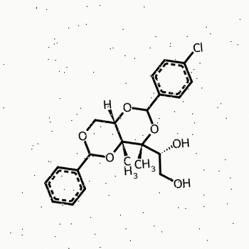 C[C@]1([C@H](O)CO)OC(c2ccc(Cl)cc2)O[C@H]2COC(c3ccccc3)O[C@]21C